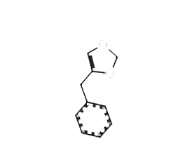 [C]1=C(Cc2ccccc2)OCO1